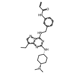 C=CC(=O)Nc1cccc(CNc2nc(N[C@H]3CC[C@H](N(C)C)CC3)nc3c(CC)cnn23)c1